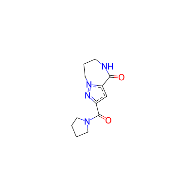 O=C1NCCCn2nc(C(=O)N3CCCC3)cc21